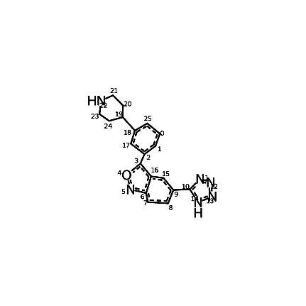 c1cc(-c2onc3ccc(-c4nnn[nH]4)cc23)cc(C2CCNCC2)c1